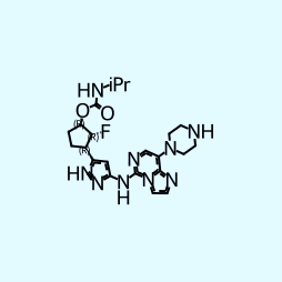 CC(C)NC(=O)O[C@@H]1CC[C@H](c2cc(Nc3ncc(N4CCNCC4)c4nccn34)n[nH]2)[C@H]1F